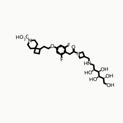 O=C(O)N1CCC2(CCC2CCOc2cc(F)c(CC(=O)N3CC(CNC[C@H](O)[C@@H](O)[C@H](O)[C@H](O)CO)C3)c(F)c2)CC1